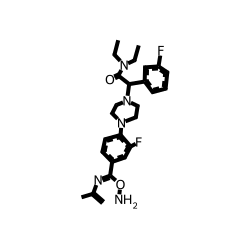 C=C(C)/N=C(\ON)c1ccc(N2CCN(C(C(=O)N(CC)CC)c3cccc(F)c3)CC2)c(F)c1